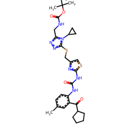 Cc1ccc(NC(=O)Nc2nc(CSc3nnc(CNC(=O)OC(C)(C)C)n3C3CC3)cs2)c(C(=O)C2CCCC2)c1